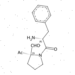 CC(=O)[C@@]1([C]=O)CCCN1C(=O)[C@H](N)Cc1ccccc1